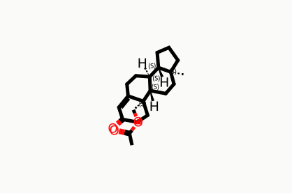 CC(=O)OC[C@]12CCC(=O)C=C1CC[C@H]1[C@@H]3CCC[C@@]3(C)CC[C@@H]12